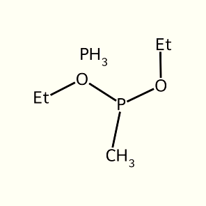 CCOP(C)OCC.P